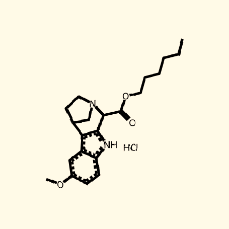 CCCCCCOC(=O)C1c2[nH]c3ccc(OC)cc3c2C2CCN1C2.Cl